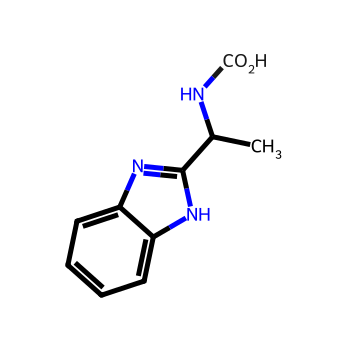 CC(NC(=O)O)c1nc2ccccc2[nH]1